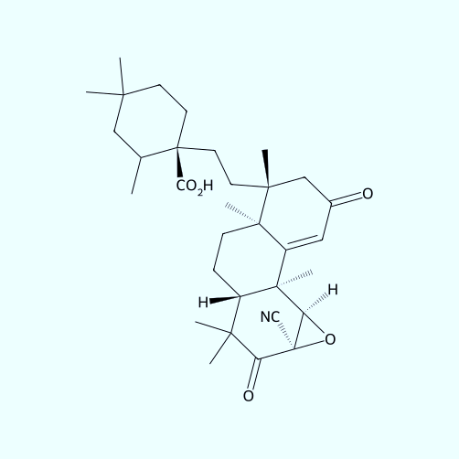 CC1CC(C)(C)CC[C@@]1(CC[C@]1(C)CC(=O)C=C2[C@@]3(C)[C@H]4O[C@@]4(C#N)C(=O)C(C)(C)[C@@H]3CC[C@]21C)C(=O)O